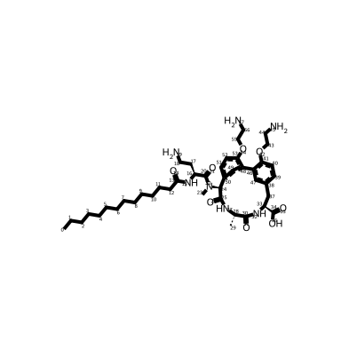 CCCCCCCCCCCCCC(=O)N[C@@H](CCN)C(=O)N(C)[C@@H]1C(=O)N[C@@H](C)C(=O)N[C@H](C(=O)O)Cc2ccc(OCCN)c(c2)-c2cc1ccc2OCCN